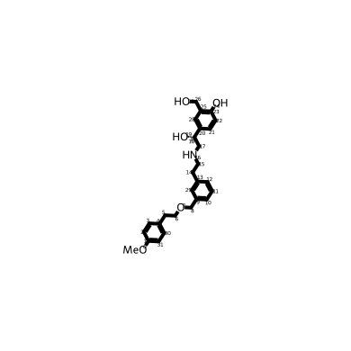 COc1ccc(CCOCc2cccc(CCNC[C@H](O)c3ccc(O)c(CO)c3)c2)cc1